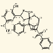 O=S(=O)(c1ccccc1)C1CC2(c3ccccc3)NC1CCC21CC(c2cc(OC(F)(F)F)ccc2O)CO1